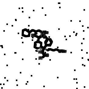 CNCC(CC1CCCCC1)NC(=O)N1CCC[C@@H]([C@](CCCCOC)(NC(=O)C(C)C)c2cccc(Cl)c2)C1